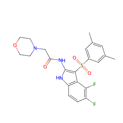 Cc1cc(C)cc(S(=O)(=O)c2c(NC(=O)CN3CCOCC3)[nH]c3ccc(F)c(F)c23)c1